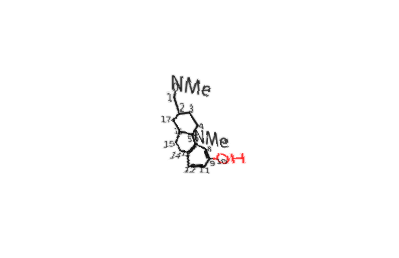 CNCC1CCC2(NC)c3cc(O)ccc3CCC2C1